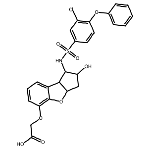 O=C(O)COc1cccc2c1OC1CC(O)C(NS(=O)(=O)c3ccc(Oc4ccccc4)c(Cl)c3)C21